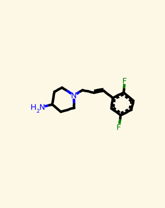 NC1CCN(CC=Cc2cc(F)ccc2F)CC1